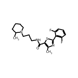 Cc1nc(-c2c(F)cccc2F)sc1C(=O)NCCCN1CCCCC1C